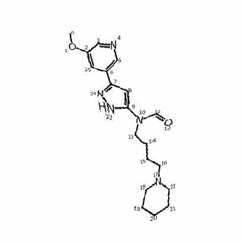 COc1cncc(-c2cc(N(C=O)CCCCN3CCCCC3)[nH]n2)c1